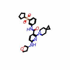 O=C(Nc1cccc(S(=O)(=O)C2CCCC2)c1)c1ccc(N[C@H]2CCOC2)nc1N1CCC2(CC1)CC2